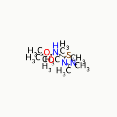 CC(=NC(=S)C(C)(C)NC(=O)OC(C)(C)C)N(C)C